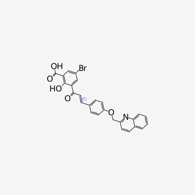 O=C(O)c1cc(Br)cc(C(=O)/C=C/c2ccc(OCc3ccc4ccccc4n3)cc2)c1O